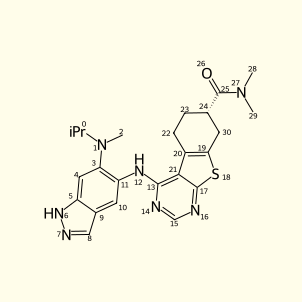 CC(C)N(C)c1cc2[nH]ncc2cc1Nc1ncnc2sc3c(c12)CC[C@H](C(=O)N(C)C)C3